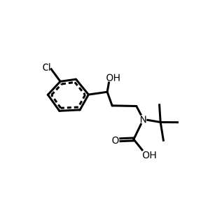 CC(C)(C)N(CCC(O)c1cccc(Cl)c1)C(=O)O